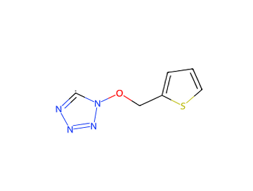 [c]1nnnn1OCc1cccs1